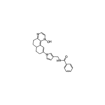 O=C(NCc1ccn(C2=CC3=C4C(=NC=CN4O)CCC3CC2)c1)c1ccccc1